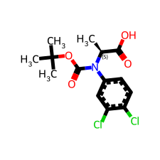 C[C@@H](C(=O)O)N(C(=O)OC(C)(C)C)c1ccc(Cl)c(Cl)c1